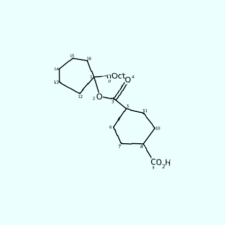 CCCCCCCCC1(OC(=O)C2CCC(C(=O)O)CC2)CCCCC1